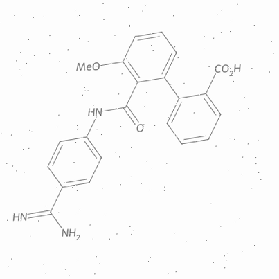 COc1cccc(-c2ccccc2C(=O)O)c1C(=O)Nc1ccc(C(=N)N)cc1